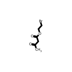 CC(=O)CC(=O)OCCBr